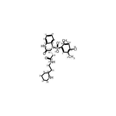 Cc1cc(S(=O)(=O)N2c3ccccc3NC(=O)[C@H]2CC(=O)NCCC2CCCCN2)c(C)cc1Cl